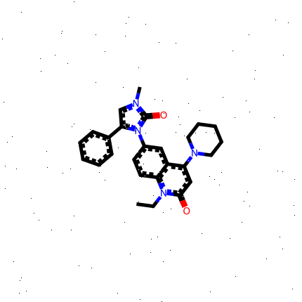 CCn1c(=O)cc(N2CCCCC2)c2cc(-n3c(-c4ccccc4)cn(C)c3=O)ccc21